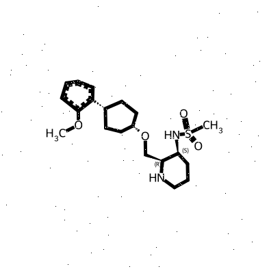 COc1ccccc1[C@H]1CC[C@@H](OC[C@@H]2NCCC[C@@H]2NS(C)(=O)=O)CC1